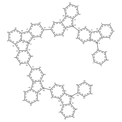 c1ccc(-n2c3ccccc3c3cc(-n4c5ccccc5c5cc(-c6ccc7c8cccc9c%10ccc(-c%11ccc%12c(c%11)c%11ccccc%11n%12-c%11ccc%12c(c%11)c%11ccccc%11n%12-c%11ccccc%11)cc%10n(c7c6)c89)ccc54)ccc32)cc1